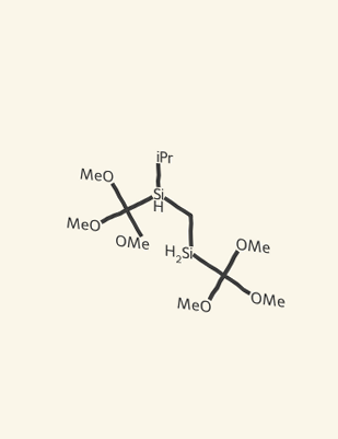 COC(OC)(OC)[SiH2]C[SiH](C(C)C)C(OC)(OC)OC